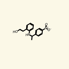 CC(Nc1ccccc1CCO)c1ccc([N+](=O)[O-])cc1